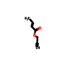 C#CCOC(=O)C=CC